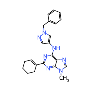 Cn1cnc2c(Nc3cnn(Cc4ccccc4)c3)nc(C3=CCCCC3)nc21